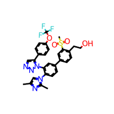 Cc1cn(-c2ccc(-c3ccc(CCO)c(S(C)(=O)=O)c3)cc2-n2nncc2-c2ccc(OC(F)(F)F)cc2)c(C)n1